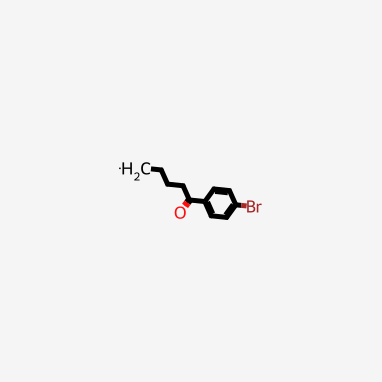 [CH2]CCCC(=O)c1ccc(Br)cc1